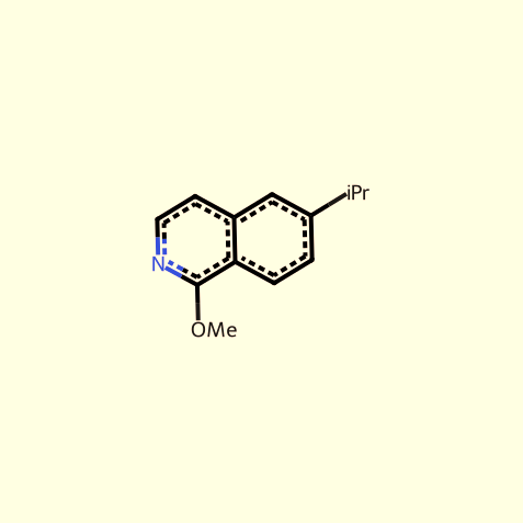 COc1nccc2cc(C(C)C)ccc12